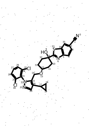 N#Cc1ccc2nc([C@]3(O)CC[C@@H](OCc4c(C5CC5)cnn4-c4c(Cl)cccc4Cl)CC3)sc2c1